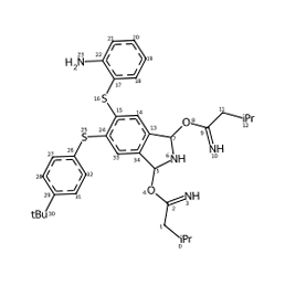 CC(C)CC(=N)OC1NC(OC(=N)CC(C)C)c2cc(Sc3ccccc3N)c(Sc3ccc(C(C)(C)C)cc3)cc21